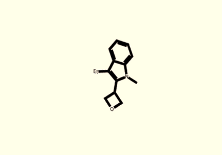 CCc1c(C2COC2)n(C)c2ccccc12